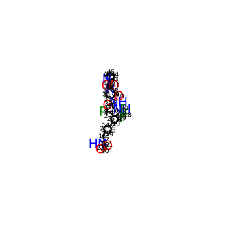 CC(C)(F)C[C@H](N[C@@H](c1ccc(-c2ccc(CCNS(C)(=O)=O)cc2)cc1)C(F)(F)F)C(=O)NC1CCCN(S(=O)(=O)c2ccccn2)CC1=O